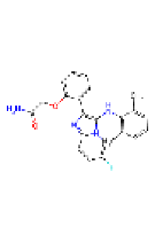 Cc1cccc(C)c1Nc1c(-c2ccccc2OCC(N)=O)nc2ccc(F)cn12